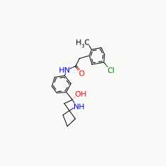 Cc1ccc(Cl)cc1CC(=O)Nc1cccc([C@]2(O)CC3(CCC3)N2)c1